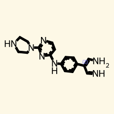 N=C/C(=C\N)c1ccc(Nc2ccnc(N3CCNCC3)n2)cc1